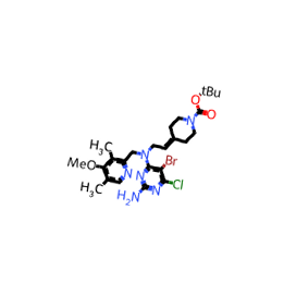 COc1c(C)cnc(CN(CC=C2CCN(C(=O)OC(C)(C)C)CC2)c2nc(N)nc(Cl)c2Br)c1C